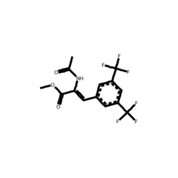 COC(=O)C(=Cc1cc(C(F)(F)F)cc(C(F)(F)F)c1)NC(C)=O